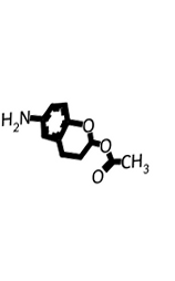 CC(=O)OC1CCc2cc(N)ccc2O1